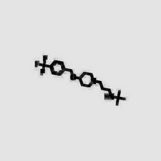 CC(C)(C)NCCCN1CCC(OCc2ccc(C(F)(F)F)cc2)CC1